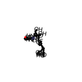 C/C(=C/C(=N)N(CCCCO)c1nc(C(=O)O)c(CCCOc2ccc(C#CCN(CCCS(=O)(=O)O)CCCS(=O)(=O)O)cc2F)s1)C(=N)Nc1nc2ccccc2s1